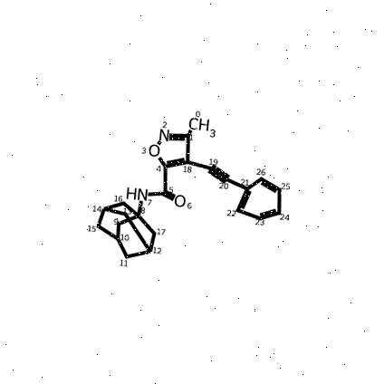 Cc1noc(C(=O)NC23CC4CC(CC(C4)C2)C3)c1C#Cc1ccccc1